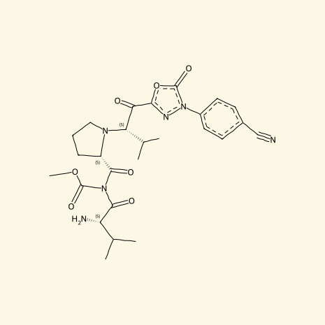 COC(=O)N(C(=O)[C@@H](N)C(C)C)C(=O)[C@@H]1CCCN1[C@H](C(=O)c1nn(-c2ccc(C#N)cc2)c(=O)o1)C(C)C